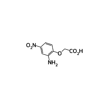 Nc1cc([N+](=O)[O-])ccc1OCC(=O)O